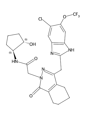 O=C(Cn1nc(Cc2nc3cc(Cl)c(OC(F)(F)F)cc3[nH]2)c2c(c1=O)CCCC2)N[C@H]1CCC[C@@H]1O